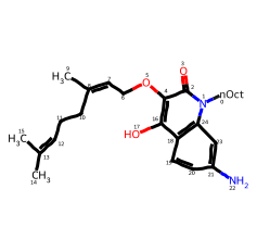 CCCCCCCCn1c(=O)c(OCC=C(C)CCC=C(C)C)c(O)c2ccc(N)cc21